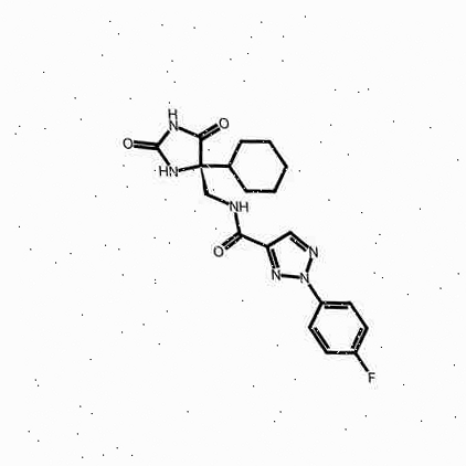 O=C1NC(=O)[C@](CNC(=O)c2cnn(-c3ccc(F)cc3)n2)(C2CCCCC2)N1